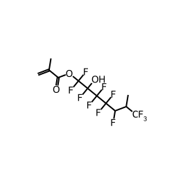 C=C(C)C(=O)OC(F)(F)C(O)(F)C(F)(F)C(F)(F)C(F)C(C)C(F)(F)F